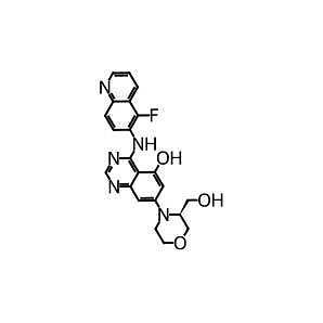 OC[C@H]1COCCN1c1cc(O)c2c(Nc3ccc4ncccc4c3F)ncnc2c1